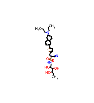 CCCN(CCC)c1ccc2cc(-c3ccc(/C=C(\C#N)S(=O)(=O)NC[C@@H](O)[C@@H](O)[C@H](O)CC)s3)ccc2c1